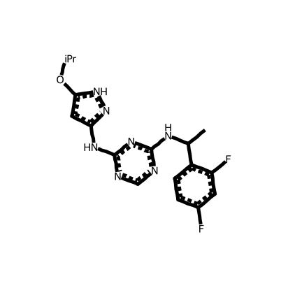 CC(C)Oc1cc(Nc2ncnc(NC(C)c3ccc(F)cc3F)n2)n[nH]1